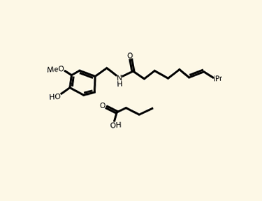 CCCC(=O)O.COc1cc(CNC(=O)CCCCC=CC(C)C)ccc1O